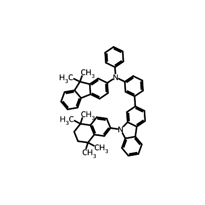 CC1(C)CCC(C)(C)c2cc(-n3c4ccccc4c4ccc(-c5cccc(N(c6ccccc6)c6ccc7c(c6)C(C)(C)c6ccccc6-7)c5)cc43)ccc21